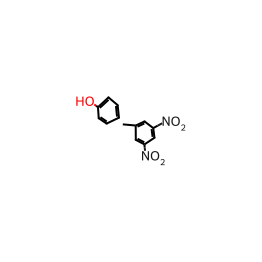 Cc1cc([N+](=O)[O-])cc([N+](=O)[O-])c1.Oc1ccccc1